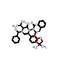 CC(=O)N([C@@H](Cc1ccccc1)C(=O)C1=NC(C)(C)CO1)N1C(=O)C(C(C)C)N(C(=O)c2ccccc2)C=C1c1ccccc1